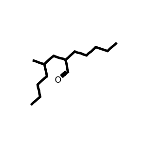 CCCCCC(C=O)CC(C)CCCC